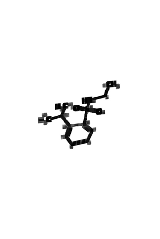 CCNS(=O)(=O)c1ccccc1C(C)C